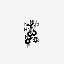 N#Cc1c(N)ncnc1NCCc1nc2ccc(F)cc2c(N2CCOCC2)c1-c1ccccn1